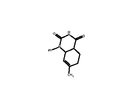 CC1=CC2C(CC1)C(=O)NC(=O)N2C(C)C